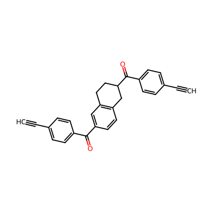 C#Cc1ccc(C(=O)c2ccc3c(c2)CCC(C(=O)c2ccc(C#C)cc2)C3)cc1